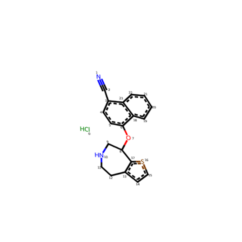 Cl.N#Cc1ccc(OC2CNCCc3ccsc32)c2ccccc12